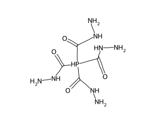 NNC(=O)[PH](C(=O)NN)(C(=O)NN)C(=O)NN